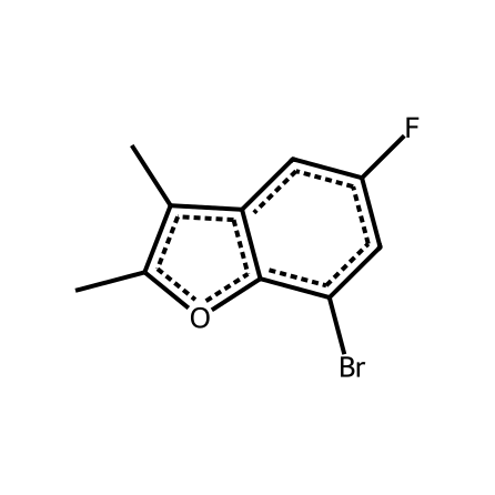 Cc1oc2c(Br)cc(F)cc2c1C